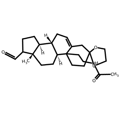 CC(=O)NCCC12CCC3(CC1=CC[C@@H]1[C@@H]2CC[C@]2(C)C(C=O)CC[C@@H]12)OCCO3